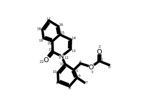 CC(=O)OCc1c(C)cccc1-n1ccc2ccccc2c1=O